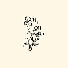 CP(=O)([O-])OC[C@H]1O[C@@H](n2cc(F)c(=O)[nH]c2=O)[C@H](O)[C@@H]1O.[Na+]